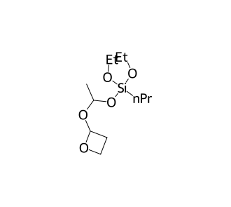 CCC[Si](OCC)(OCC)OC(C)OC1CCO1